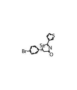 O=C1C[C@H](c2ccc(Br)cc2)[Se]C(c2ccsc2)=N1